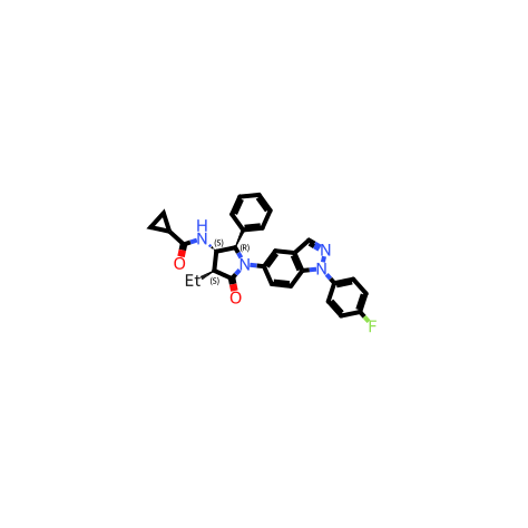 CC[C@@H]1C(=O)N(c2ccc3c(cnn3-c3ccc(F)cc3)c2)[C@H](c2ccccc2)[C@H]1NC(=O)C1CC1